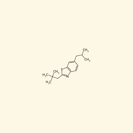 CC(C)Cc1ccc2nc(CC(C)(C)C)sc2c1